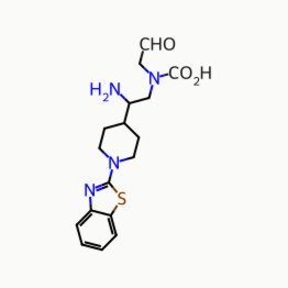 NC(CN(CC=O)C(=O)O)C1CCN(c2nc3ccccc3s2)CC1